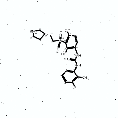 Cc1c(F)cccc1NC(=O)Nc1ccc(Cl)c(S(=O)(=O)CC[C@@H]2CCNC2)c1O